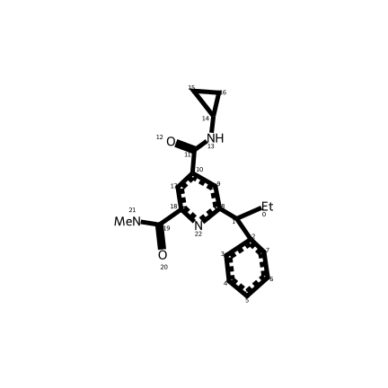 CCC(c1ccccc1)c1cc(C(=O)NC2CC2)cc(C(=O)NC)n1